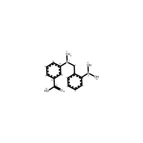 CN(Cc1ccccc1B(O)O)c1cccc(C(=O)O)c1